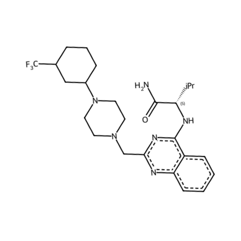 CC(C)[C@H](Nc1nc(CN2CCN(C3CCCC(C(F)(F)F)C3)CC2)nc2ccccc12)C(N)=O